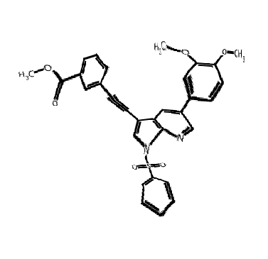 COC(=O)c1cccc(C#Cc2cn(S(=O)(=O)c3ccccc3)c3ncc(-c4ccc(OC)c(OC)c4)cc23)c1